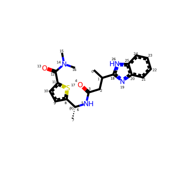 CC(CC(=O)N[C@H](C)c1ccc(C(=O)N(C)C)s1)c1nc2ccccc2[nH]1